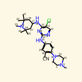 CN1CCN(c2ccc(Nc3ncc(Cl)c(NC4CC(C)(C)N(C)C(C)(C)C4)n3)cc2C#N)CC1